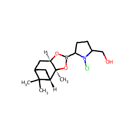 CC1(C)C2C[C@H]3OB(C4CCC(CO)N4Cl)O[C@@]3(C)[C@H]1C2